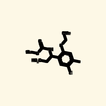 COCOc1cc(C)c(Cl)cc1C(CC(=O)O)NC(=O)OC(C)(C)C